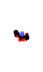 COc1ccccc1CC(=O)NCC(NC(=O)Cc1ccccc1OC)C(=O)O